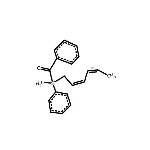 C/C=C\C=C/C[Si](C)(C(=O)c1ccccc1)c1ccccc1